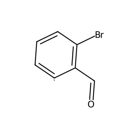 O=Cc1[c]cccc1Br